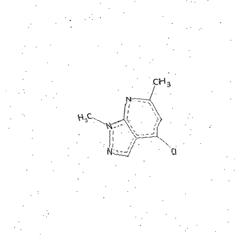 Cc1cc(Cl)c2cnn(C)c2n1